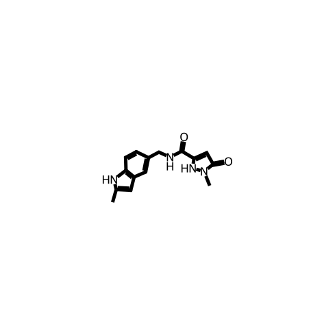 Cc1cc2cc(CNC(=O)c3cc(=O)n(C)[nH]3)ccc2[nH]1